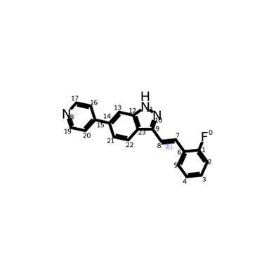 Fc1ccccc1/C=C/c1n[nH]c2cc(-c3ccncc3)ccc12